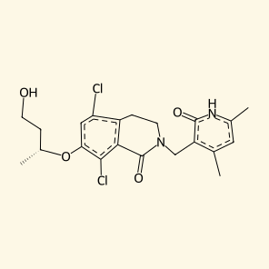 Cc1cc(C)c(CN2CCc3c(Cl)cc(O[C@H](C)CCO)c(Cl)c3C2=O)c(=O)[nH]1